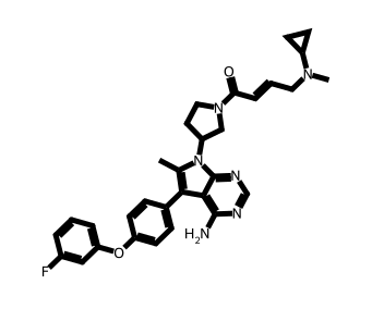 Cc1c(-c2ccc(Oc3cccc(F)c3)cc2)c2c(N)ncnc2n1C1CCN(C(=O)C=CCN(C)C2CC2)C1